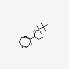 CCC(O[Si](C)(C)C(C)(C)C)C1=C=CCN=CO1